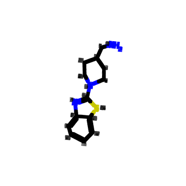 NCC1CCN(c2nc3ccccc3s2)CC1